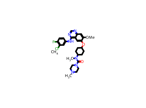 C.COc1cc2ncnc(Nc3ccc(F)c(Cl)c3)c2cc1OC1CCC(N(C)C(=O)N2CCN(C)CC2)CC1